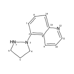 c1cc(N2CCCN2)c2cccnc2c1